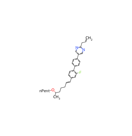 C=CCc1ncc(-c2ccc(-c3ccc(/C=C/CCCC(C)OCCCCC)cc3F)cc2)cn1